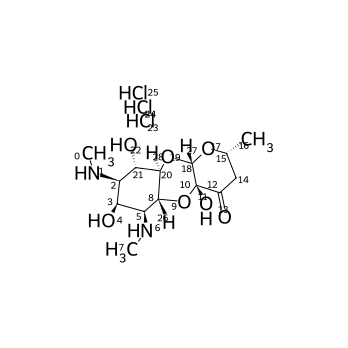 CN[C@@H]1[C@H](O)[C@H](NC)[C@H]2O[C@@]3(O)C(=O)C[C@@H](C)O[C@H]3O[C@@H]2[C@H]1O.Cl.Cl.Cl